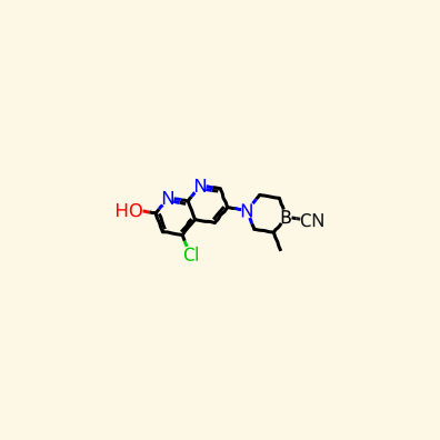 CC1CN(c2cnc3nc(O)cc(Cl)c3c2)CCB1C#N